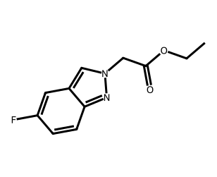 CCOC(=O)Cn1cc2cc(F)ccc2n1